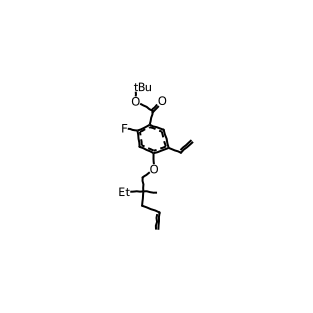 C=CCC(C)(CC)COc1cc(F)c(C(=O)OC(C)(C)C)cc1C=C